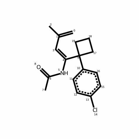 C=C(C)/C=C(/NC(C)=O)C1(c2ccc(Cl)cc2)CCC1